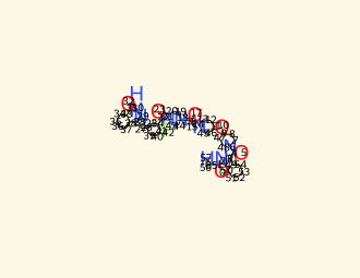 O=C(N[C@@H](C(=O)N1CCC(OC2CCN(CC(=O)N3CCN(C(=O)c4cc(Cc5n[nH]c(=O)c6ccccc56)ccc4F)CC3)CC2)CC1)C1CCCCC1)C1CC1